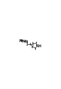 [N-]=[N+]=NCC1C2CNCC12